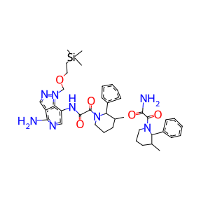 CC1CCCN(C(=O)C(=O)Nc2cnc(N)c3cnn(COCC[Si](C)(C)C)c23)C1c1ccccc1.CC1CCCN(C(=O)C(N)=O)C1c1ccccc1